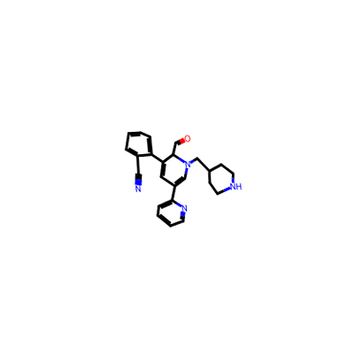 N#Cc1ccccc1C1=CC(c2ccccn2)=CN(CC2CCNCC2)C1C=O